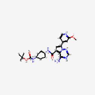 COc1cc(-c2cc(C(=O)N[C@H]3CC[C@H](NC(=O)OC(C)(C)C)CC3)c3c(N)ncnn23)ccn1